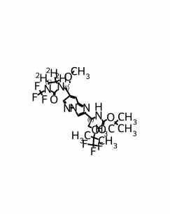 [2H][C@@H]1N(C(F)(F)F)C(=O)N([C@H](COC)c2cnn3cc([C@H](COC(C)(C)C(F)(F)F)NC(=O)OC(C)(C)C)nc3c2)C1([2H])[2H]